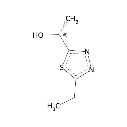 CCc1nnc([C@@H](C)O)s1